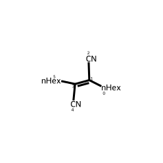 CCCCCC/C(C#N)=C(\C#N)CCCCCC